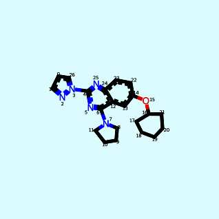 c1cnn(-c2nc(N3CCCC3)c3cc(OC4CCCCC4)ccc3n2)c1